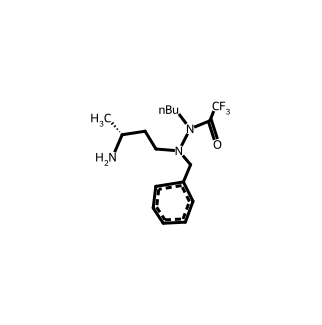 CCCCN(C(=O)C(F)(F)F)N(CC[C@@H](C)N)Cc1ccccc1